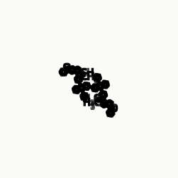 CC1(C)c2cc(-c3c4ccccc4c(-c4ccccc4)c4cc(-c5ccc6c(-c7ccc8c(c7)C(C)(C)c7ccc9c(ccc%10oc%11ccccc%11c%109)c7-8)c7ccccc7c(-c7ccccc7)c6c5)ccc34)ccc2-c2c1ccc1cc3oc4ccccc4c3cc21